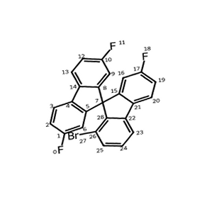 Fc1ccc2c(c1)C1(c3cc(F)ccc3-2)c2cc(F)ccc2-c2cccc(Br)c21